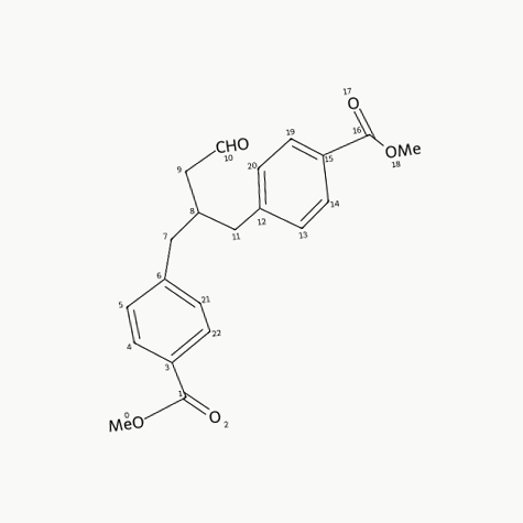 COC(=O)c1ccc(CC(CC=O)Cc2ccc(C(=O)OC)cc2)cc1